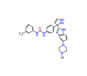 CCN1CCN(c2ccc3[nH]c(C4(c5ccc(NC(=O)Nc6cccc(C(F)(F)F)c6)cc5)C=CNN4)nc3c2)CC1